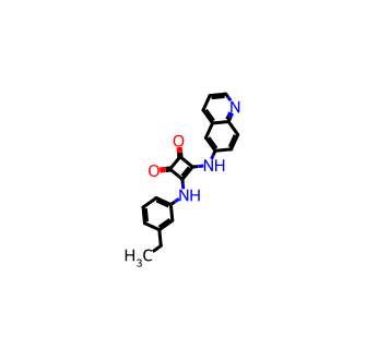 CCc1cccc(Nc2c(Nc3ccc4ncccc4c3)c(=O)c2=O)c1